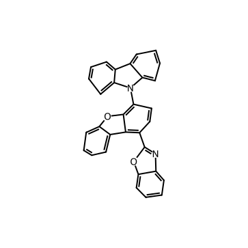 c1ccc2oc(-c3ccc(-n4c5ccccc5c5ccccc54)c4oc5ccccc5c34)nc2c1